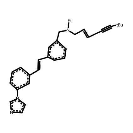 CCN(C/C=C/C#CC(C)(C)C)Cc1cccc(/C=C/c2cccc(-n3ccnc3)c2)c1